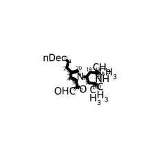 CCCCCCCCCCCCc1cc(C(=O)C=O)n(C2CC(C)(C)NC(C)(C)C2)c1